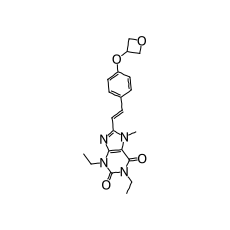 CCn1c(=O)c2c(nc(C=Cc3ccc(OC4COC4)cc3)n2C)n(CC)c1=O